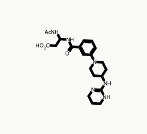 CC(=O)NC(CC(=O)O)NC(=O)c1cccc(N2CCC(NC3=NCCCN3)CC2)c1